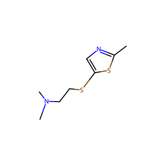 Cc1ncc(SCCN(C)C)s1